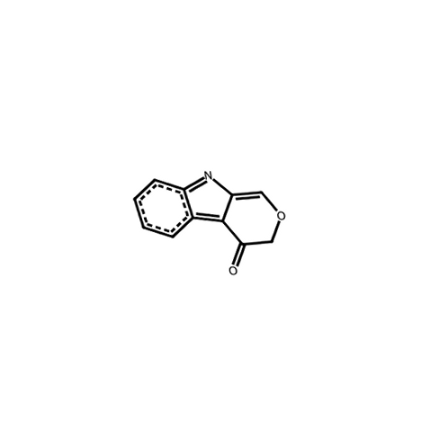 O=C1COC=C2N=c3ccccc3=C12